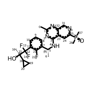 Cc1nc(N[C@H](C)c2cccc(C(F)(F)[C@](C)(O)C3CC3)c2F)c2cc(P(C)(C)=O)ncc2n1